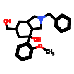 COc1ccccc1C1(O)CC(CO)CC2CN(Cc3ccccc3)CC21